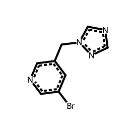 Brc1cncc(Cn2cncn2)c1